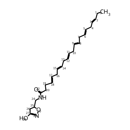 CC/C=C/C/C=C/C/C=C/C/C=C/C/C=C/C/C=C/CCC(=O)NCC1CC(O)=NO1